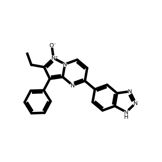 CCc1c(-c2ccccc2)c2nc(-c3ccc4[nH]nnc4c3)ccn2[n+]1[O-]